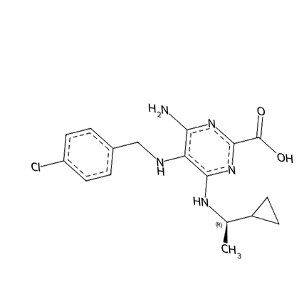 C[C@@H](Nc1nc(C(=O)O)nc(N)c1NCc1ccc(Cl)cc1)C1CC1